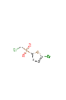 O=S(=O)(CCl)c1ccc(Br)s1